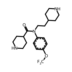 O=C(C1CCNCC1)N(CCC1CCNCC1)c1ccc(OC(F)(F)F)cc1